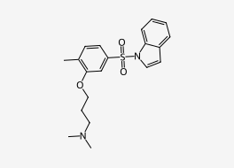 Cc1ccc(S(=O)(=O)n2ccc3ccccc32)cc1OCCCN(C)C